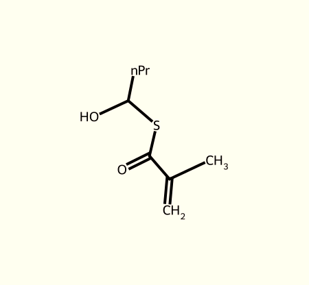 C=C(C)C(=O)SC(O)CCC